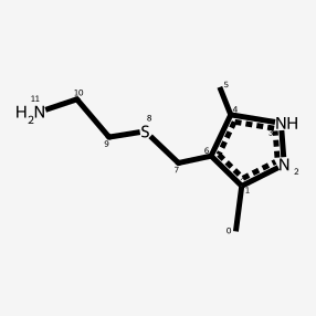 Cc1n[nH]c(C)c1CSCCN